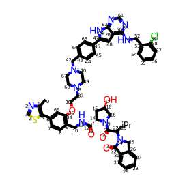 Cc1ncsc1-c1ccc(CNC(=O)[C@@H]2C[C@@H](O)CN2C(=O)C(C(C)C)N2Cc3ccccc3C2=O)c(OCCN2CCN(Cc3ccc(-c4cc5c(NCc6ccccc6Cl)ncnc5[nH]4)cc3)CC2)c1